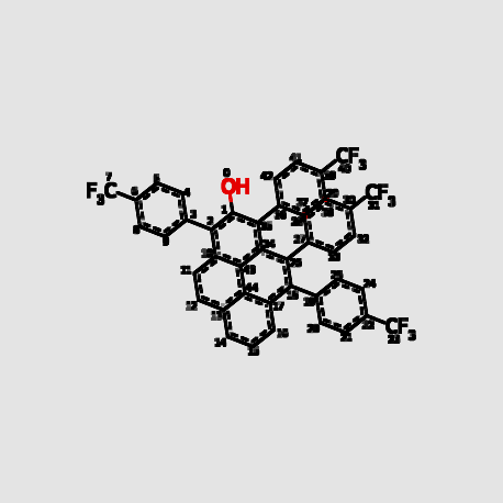 Oc1c(-c2ccc(C(F)(F)F)cc2)c2ccc3cccc4c(-c5ccc(C(F)(F)F)cc5)c(-c5ccc(C(F)(F)F)cc5)c(c1-c1ccc(C(F)(F)F)cc1)c2c34